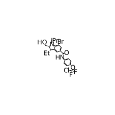 CCC1c2cc(C(=O)Nc3ccc(OC(F)(F)Cl)cc3)cc(Br)c2N(C(C)C)C1CO